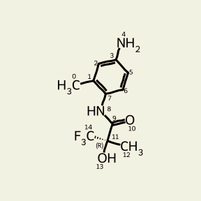 Cc1cc(N)ccc1NC(=O)[C@@](C)(O)C(F)(F)F